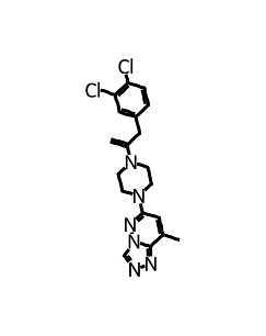 C=C(Cc1ccc(Cl)c(Cl)c1)N1CCN(c2cc(C)c3nncn3n2)CC1